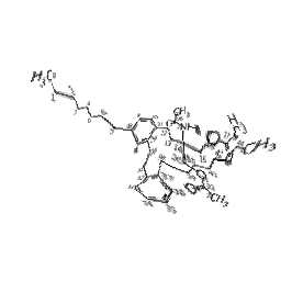 CCCCCCCCc1ccc(CCC(COC(C)=O)(COC(C)=O)NC(C)=O)c(C=Cc2ccccc2CCCCCCCC)c1